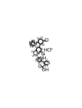 Cl.O=C(O)c1cscc1-c1cnc([C@@H]2CCc3cc(-c4cc(Cl)ccc4-n4cnnn4)cc(=O)n32)[nH]1